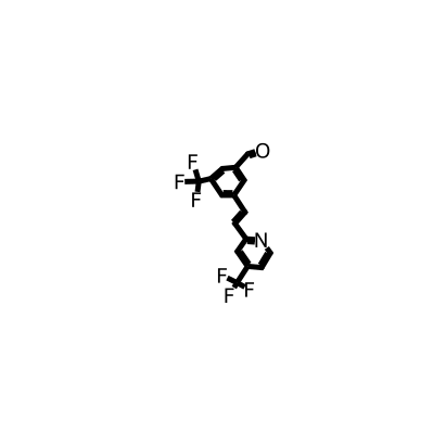 O=Cc1cc(/C=C/c2cc(C(F)(F)F)ccn2)cc(C(F)(F)F)c1